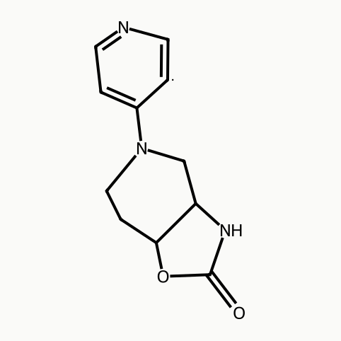 O=C1NC2CN(c3[c]cncc3)CCC2O1